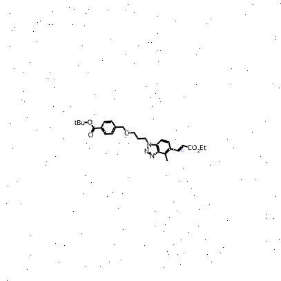 CCOC(=O)/C=C/c1ccc2c(nnn2CCCOCc2ccc(C(=O)OC(C)(C)C)cc2)c1C